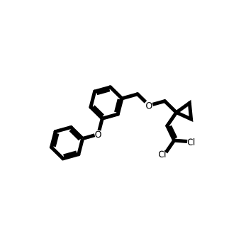 ClC(Cl)=CC1(COCc2cccc(Oc3ccccc3)c2)CC1